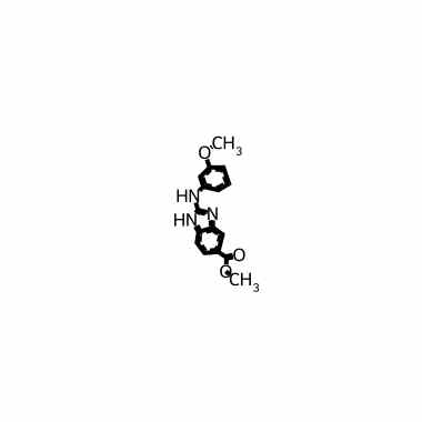 COC(=O)c1ccc2[nH]c(Nc3cccc(OC)c3)nc2c1